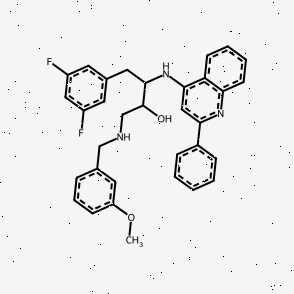 COc1cccc(CNCC(O)C(Cc2cc(F)cc(F)c2)Nc2cc(-c3ccccc3)nc3ccccc23)c1